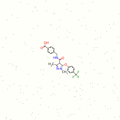 CC1=NN(C)C(Oc2ccc(C(F)(F)F)cc2)C1C(=O)NCc1ccc(C(=O)O)cc1